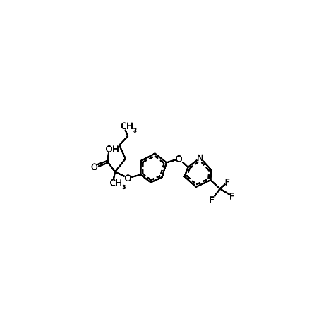 CCCCC(C)(Oc1ccc(Oc2ccc(C(F)(F)F)cn2)cc1)C(=O)O